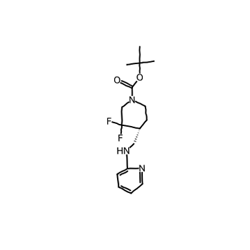 CC(C)(C)OC(=O)N1CC[C@H](CNc2ccccn2)C(F)(F)C1